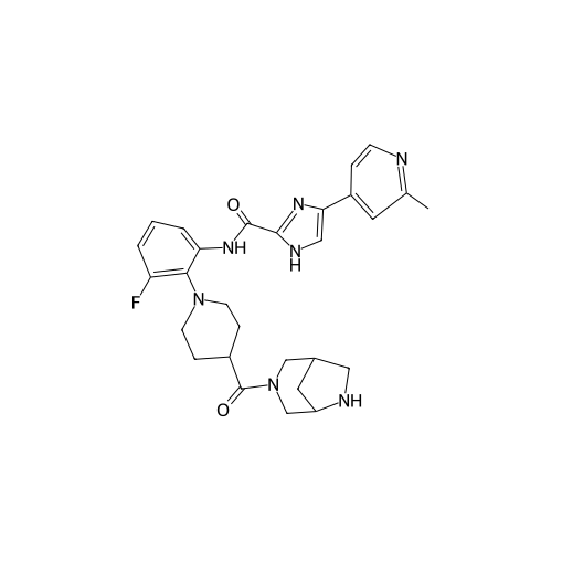 Cc1cc(-c2c[nH]c(C(=O)Nc3cccc(F)c3N3CCC(C(=O)N4CC5CNC(C5)C4)CC3)n2)ccn1